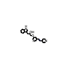 OC(COc1cncc(/C=C/c2ccncc2)c1)Cc1c[nH]c2ccccc12